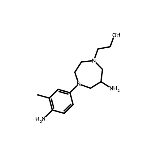 Cc1cc(N2CCN(CCO)CC(N)C2)ccc1N